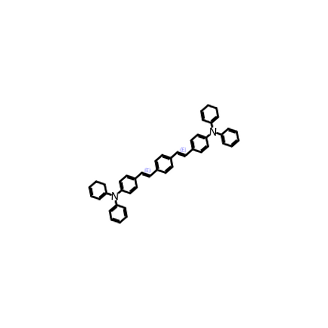 C1=CCCC(N(c2ccccc2)c2ccc(/C=C/c3ccc(/C=C/c4ccc(N(C5=CCCC=C5)c5ccccc5)cc4)cc3)cc2)=C1